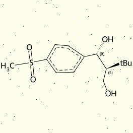 CC(C)(C)[C@@H](CO)[C@@H](O)c1ccc(S(C)(=O)=O)cc1